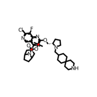 CC(C)(C)OC(=O)N1C2CCC1CN(c1nc(OC[C@@H]3CCCN3CC3CCC4(CCNCC4)CC3)nc3c(F)c(Cl)ncc13)C2